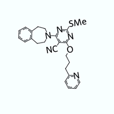 CSc1nc(OCCCc2ccccn2)c(C#N)c(N2CCc3ccccc3CC2)n1